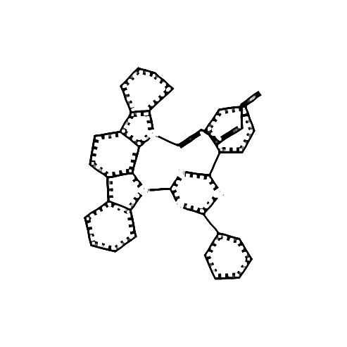 C=C/C=C\C=C\n1c2ccccc2c2ccc3c4ccccc4n(-c4nc(-c5ccccc5)nc(-c5ccccc5)n4)c3c21